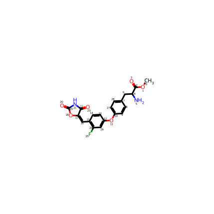 COC(=O)C(N)Cc1ccc(Oc2ccc(C=C3OC(=O)NC3=O)c(F)c2)cc1